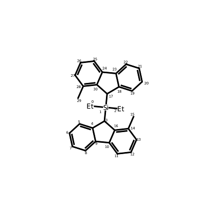 CC[Si](CC)(C1c2ccccc2-c2cccc(C)c21)C1c2ccccc2-c2cccc(C)c21